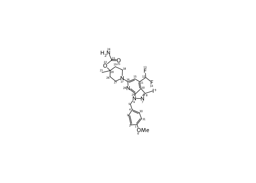 COc1ccc(Cn2nc(I)c3c(C(F)F)cc(N4CCC(C)(OC(N)=O)CC4)nc32)cc1